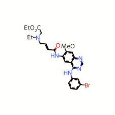 CCOC(=O)CN(CC)CC=CC(=O)Nc1cc2c(Nc3cccc(Br)c3)ncnc2cc1OC